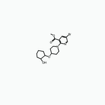 COC(=O)c1cc(Br)cnc1N1CCC(OC2CCCCC2O)CC1